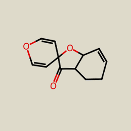 O=C1C2CCC=CC2OC12C=COC=C2